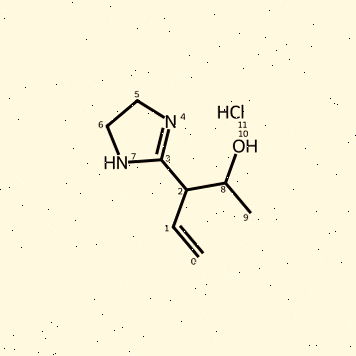 C=CC(C1=NCCN1)C(C)O.Cl